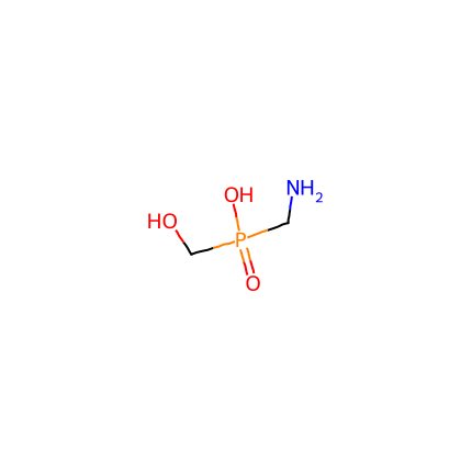 NCP(=O)(O)CO